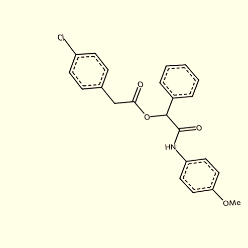 COc1ccc(NC(=O)C(OC(=O)Cc2ccc(Cl)cc2)c2ccccc2)cc1